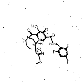 CSC1=NO[C@@]2(CC[C@H](C)N3C[C@H]2n2cc(C(=O)NCc4c(F)cc(F)cc4F)c(=O)c(O)c2C3=O)C1